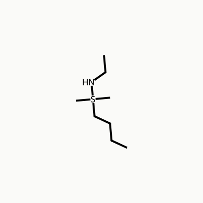 CCCCS(C)(C)NCC